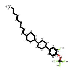 CCC/C=C/CC/C=C/C1CCC(C2CCC(c3ccc(OC(F)(F)F)c(F)c3)CC2)CC1